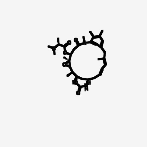 C/C1=C\C=C\C[C@H]2C[C@H](OC(=O)N2)[C@@H](C)C2O[C@@]2(C)[C@@H](OC(=O)[C@H](C)N(C)C)CC(=O)N(C)c2cc(cc(C)c2C)C1